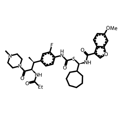 CCC(=O)N[C@@H](C(=O)N1CCN(C)CC1)[C@@H](C)c1ccc(NC(=O)S[C@@H](NC(=O)c2coc3cc(OC)ccc23)C2CCCCCC2)c(F)c1